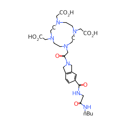 CCCCNC(=O)CNC(=O)c1ccc2c(c1)CN(C(=O)CN1CCN(CC(=O)O)CCN(CC(=O)O)CCN(CC(=O)O)CC1)C2